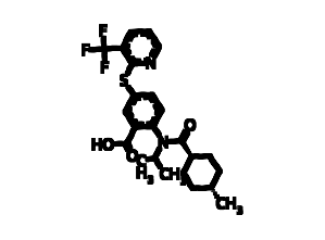 CC(C)N(c1ccc(Sc2ncccc2C(F)(F)F)cc1C(=O)O)C(=O)[C@H]1CC[C@H](C)CC1